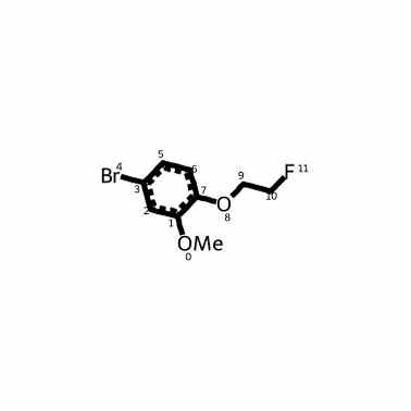 COc1cc(Br)ccc1OCCF